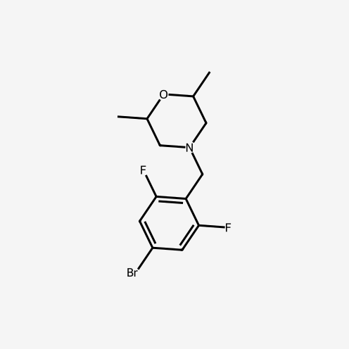 CC1CN(Cc2c(F)cc(Br)cc2F)CC(C)O1